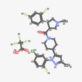 Cc1cc(C2CCN(C(=O)[C@@H]3CN(C(C)(C)C)C[C@H]3c3ccc(F)cc3F)CC2)n(-c2cc(Cl)ccc2F)n1.O=C(O)C(F)(F)F